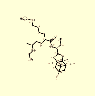 CC(C)CN[C@@H](C)CN[C@@H](CCCCNC(=O)O)C(=O)N[C@@H](CC(C)C)B1O[C@@H]2C[C@@H]3C[C@@H](C3(C)C)[C@]2(C)O1